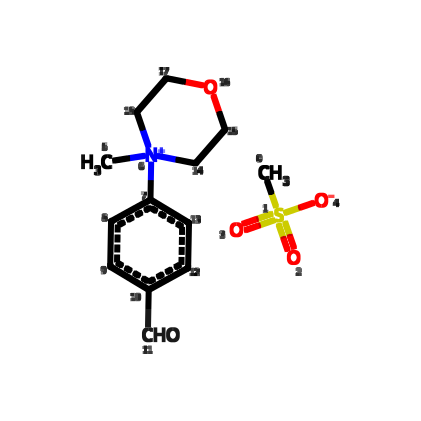 CS(=O)(=O)[O-].C[N+]1(c2ccc(C=O)cc2)CCOCC1